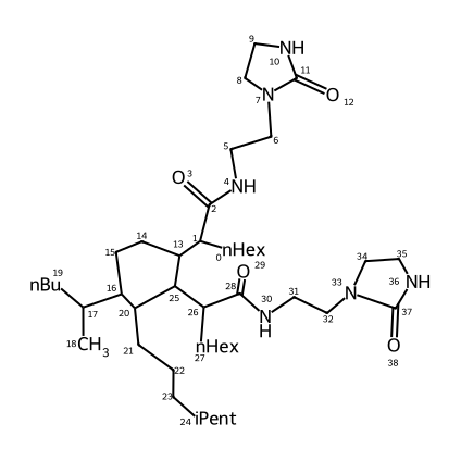 CCCCCCC(C(=O)NCCN1CCNC1=O)C1CCC(C(C)CCCC)C(CCCC(C)CCC)C1C(CCCCCC)C(=O)NCCN1CCNC1=O